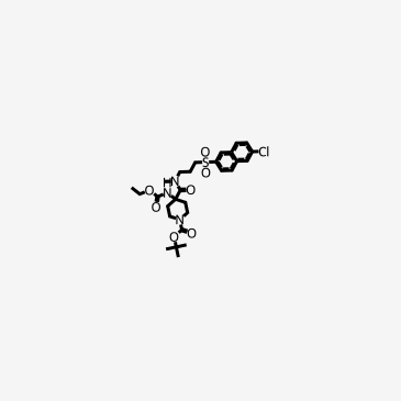 CCOC(=O)NC1(C(=O)N(C)CCCS(=O)(=O)c2ccc3cc(Cl)ccc3c2)CCN(C(=O)OC(C)(C)C)CC1